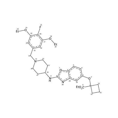 CCOC(=O)C1(Oc2ccc3oc(NC4CCN(Cc5cc(OCC)c(F)c(OCC)c5)CC4)nc3c2)CCC1